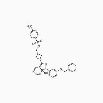 Cc1ccc(S(=O)(=O)OCC2CC(C3=C4C=NC=C[N+]4(N)C(c4cccc(OCc5ccccc5)c4)=N3)C2)cc1